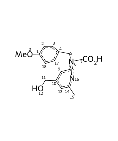 COc1ccc(CN(C(=O)O)c2cc(CO)cc(C)n2)cc1